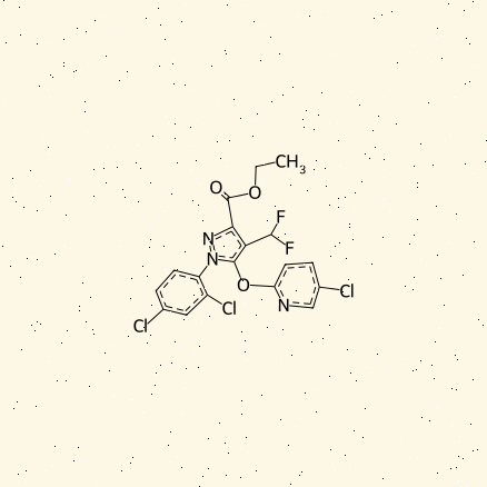 CCOC(=O)c1nn(-c2ccc(Cl)cc2Cl)c(Oc2ccc(Cl)cn2)c1C(F)F